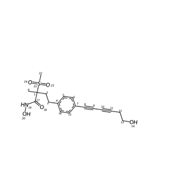 CC(CCc1ccc(C#CC#CCCO)cc1)(C(=O)NO)S(C)(=O)=O